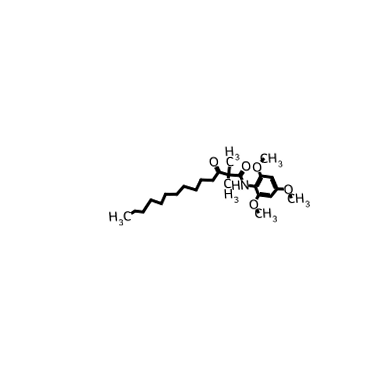 CCCCCCCCCCCC(=O)C(C)(C)C(=O)Nc1c(OC)cc(OC)cc1OC